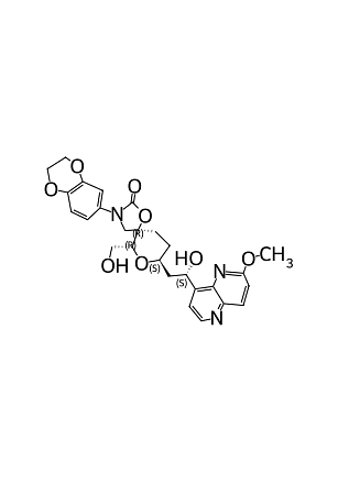 COc1ccc2nccc([C@@H](O)C[C@@H]3CC[C@@]4(CN(c5ccc6c(c5)OCCO6)C(=O)O4)[C@@H](CO)O3)c2n1